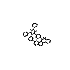 c1ccc(-c2ccc3ccc4c5ccccc5nc(-c5ccc(-c6nc(-c7ccccc7)nc(-c7ccccc7)n6)cc5)c4c3n2)cc1